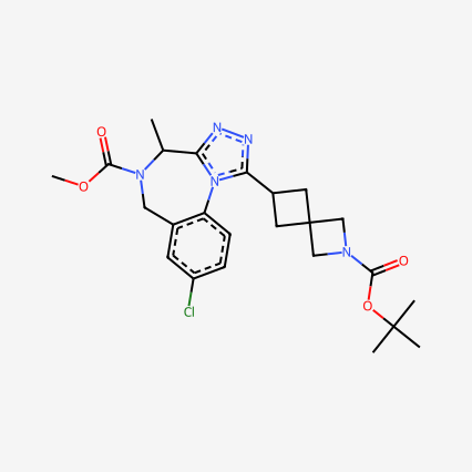 COC(=O)N1Cc2cc(Cl)ccc2-n2c(C3CC4(C3)CN(C(=O)OC(C)(C)C)C4)nnc2C1C